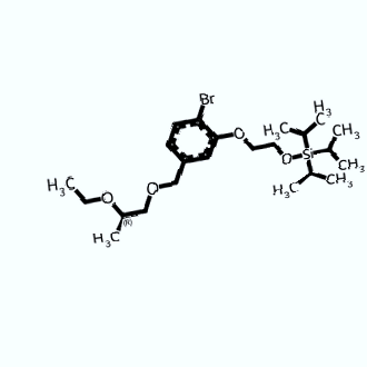 CCO[C@H](C)COCc1ccc(Br)c(OCCO[Si](C(C)C)(C(C)C)C(C)C)c1